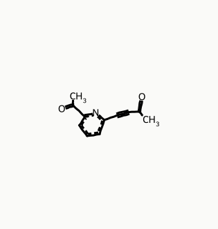 CC(=O)C#Cc1cccc(C(C)=O)n1